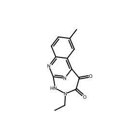 CCN1Nc2nc(c3cc(C)ccc3n2)C(=O)C1=O